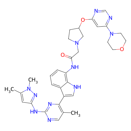 Cc1cnc(Nc2cc(C)n(C)n2)nc1-c1c[nH]c2c(NC(=O)CN3CCC(Oc4cc(N5CCOCC5)ncn4)C3)cccc12